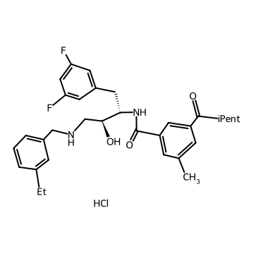 CCCC(C)C(=O)c1cc(C)cc(C(=O)N[C@@H](Cc2cc(F)cc(F)c2)[C@@H](O)CNCc2cccc(CC)c2)c1.Cl